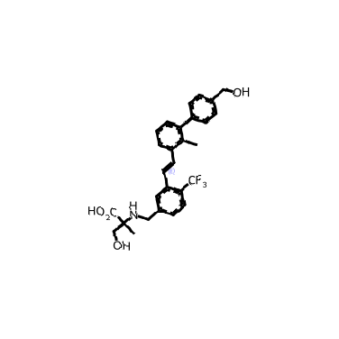 Cc1c(/C=C/c2cc(CNC(C)(CO)C(=O)O)ccc2C(F)(F)F)cccc1-c1ccc(CO)cc1